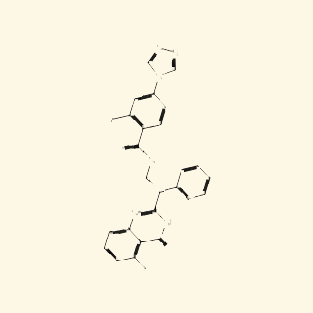 Cc1cccc2nc([C@@H](CNC(=O)c3ccc(-n4cnnc4)cc3Cl)c3ccccc3)[nH]c(=O)c12